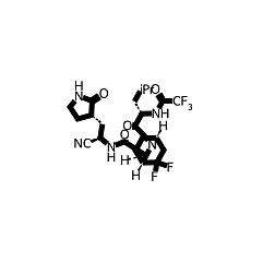 CC(C)C[C@H](NC(=O)C(F)(F)F)C(=O)N1[C@H]2CC[C@@H]([C@H]1C(=O)N[C@@H](C#N)C[C@@H]1CCNC1=O)C(F)(F)C2